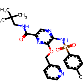 Cc1ccc(S(=O)(=O)Nc2ncc(C(=O)NCC(C)(C)C)nc2OCc2cccnc2)cc1